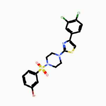 O=S(=O)(c1cccc(Br)c1)N1CCN(c2nc(-c3ccc(Cl)c(Cl)c3)cs2)CC1